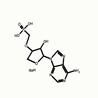 Nc1ncnc2c1ncn2C1OCC(OCP(=O)(O)O)C1O.[NaH]